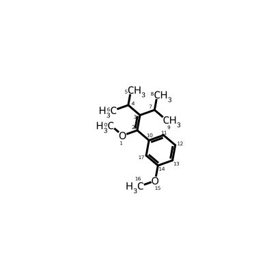 COC(=C(C(C)C)C(C)C)c1cccc(OC)c1